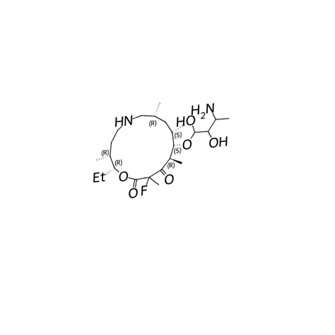 CC[C@H]1OC(=O)C(C)(F)C(=O)[C@H](C)[C@@H](OC(O)C(O)C(C)N)[C@@H](C)C[C@@H](C)CNCC[C@H]1C